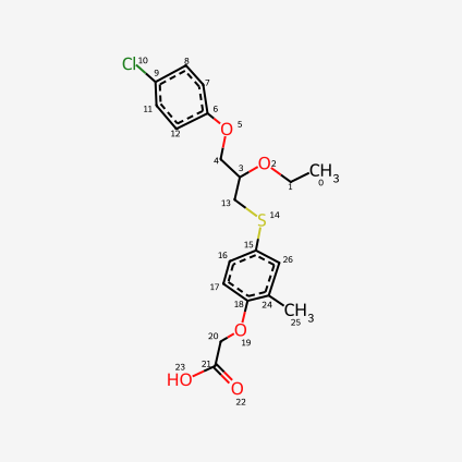 CCOC(COc1ccc(Cl)cc1)CSc1ccc(OCC(=O)O)c(C)c1